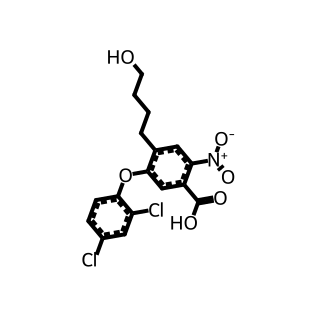 O=C(O)c1cc(Oc2ccc(Cl)cc2Cl)c(CCCCO)cc1[N+](=O)[O-]